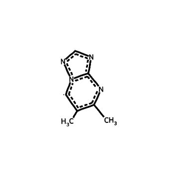 Cc1[c]n2ncnc2nc1C